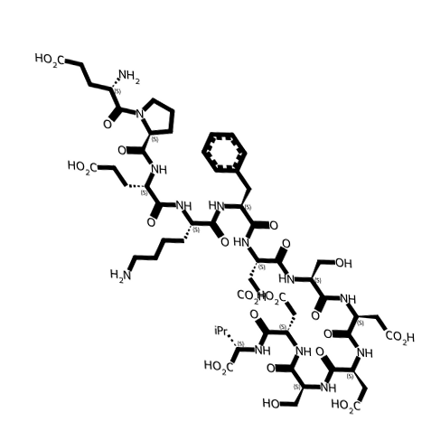 CC(C)[C@H](NC(=O)[C@H](CC(=O)O)NC(=O)[C@H](CO)NC(=O)[C@H](CC(=O)O)NC(=O)[C@H](CC(=O)O)NC(=O)[C@H](CO)NC(=O)[C@H](CC(=O)O)NC(=O)[C@H](Cc1ccccc1)NC(=O)[C@H](CCCCN)NC(=O)[C@H](CCC(=O)O)NC(=O)[C@@H]1CCCN1C(=O)[C@@H](N)CCC(=O)O)C(=O)O